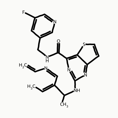 C=C/N=C\C(=C/C)C(C)Nc1nc(C(=O)NCc2cncc(F)c2)c2sccc2n1